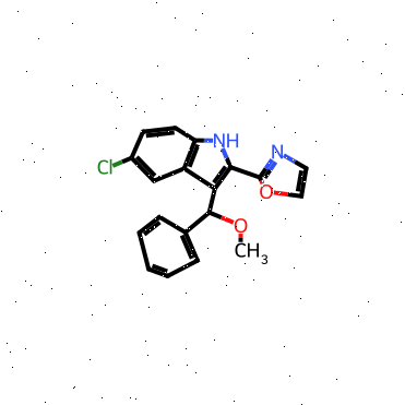 COC(c1ccccc1)c1c(-c2ncco2)[nH]c2ccc(Cl)cc12